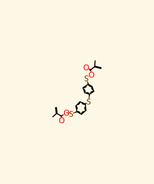 C=C(C)C(=O)OSc1ccc(Sc2ccc(SOC(=O)C(=C)C)cc2)cc1